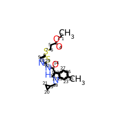 CCOC(=O)CCSc1cnc(NC(=O)c2cn(CC3CC3)c3cc(C)ccc23)s1